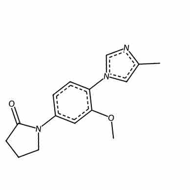 COc1cc(N2CCCC2=O)ccc1-n1cnc(C)c1